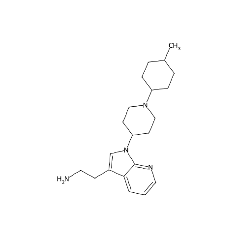 CC1CCC(N2CCC(n3cc(CCN)c4cccnc43)CC2)CC1